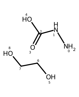 NNC(=O)O.OCCO